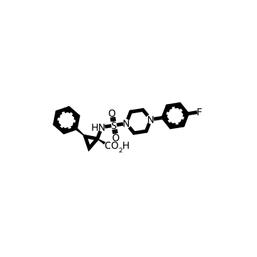 O=C(O)[C@@]1(NS(=O)(=O)N2CCN(c3ccc(F)cc3)CC2)C[C@H]1c1ccccc1